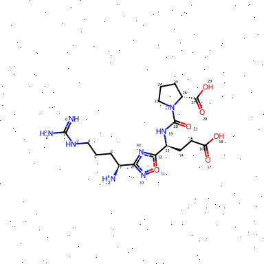 N=C(N)NCCC[C@H](N)c1noc([C@H](CCC(=O)O)NC(=O)N2CCC[C@@H]2C(=O)O)n1